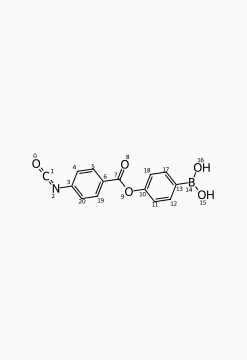 O=C=Nc1ccc(C(=O)Oc2ccc(B(O)O)cc2)cc1